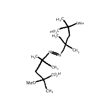 COC(C)(CC(C)(C)N=NC(C)(C)CC(C)(OC)C(=O)O)C(=O)O